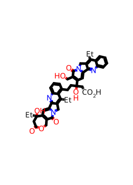 CCc1c2c(nc3ccccc13)-c1cc(C(O)(CCc3cccc4nc5c(c(CC)c34)Cn3c-5cc4c(c3=O)COC(=O)CC4(O)CC)CC(=O)O)c(CO)c(=O)n1C2